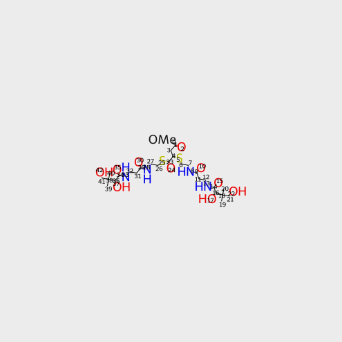 COC(=O)CC(SCCNC(=O)CCNC(=O)C(O)C(C)(C)CO)C(=O)SCCNC(=O)CCNC(=O)C(O)C(C)(C)CO